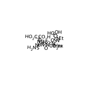 CCCCCCN(CC1=C(C(=O)O)N2C(=O)[C@@H](NC(=O)/C(=N\O[C@@H](CC(=O)O)C(=O)O)c3csc(N)n3)[C@H]2SC1)Cc1nn(CC)c2cc(O)c(O)cc2c1=O